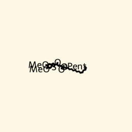 CCCCC/C=C\C/C=C\CCCCCCCCOC(=O)CCC(=O)c1cc2cc(OC)c(OC)cc2s1